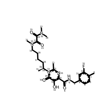 Cc1ccc(CNC(=O)c2nc(C)n([C@@H](C)CCCCN(C)C(=O)C(=O)N(C)C)c(=O)c2O)cc1F